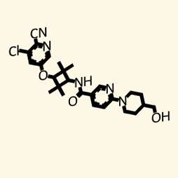 CC1(C)C(NC(=O)c2ccc(N3CCC(CO)CC3)nc2)C(C)(C)C1Oc1cnc(C#N)c(Cl)c1